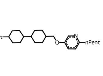 CCCCCc1ccc(OCC2CCC(C3CCC(CC)CC3)CC2)cn1